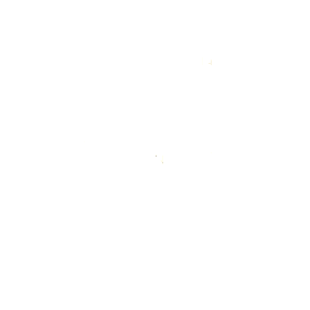 BrCCN1c2ccc(Br)cc2Sc2cc(Br)ccc21